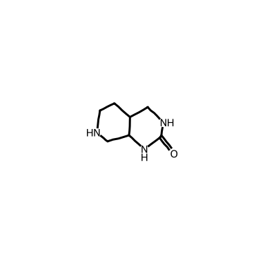 O=C1NCC2CCNCC2N1